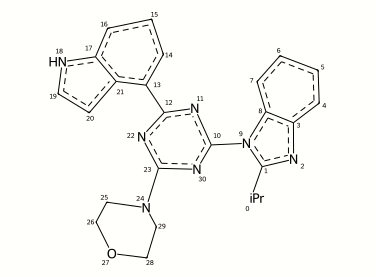 CC(C)c1nc2ccccc2n1-c1nc(-c2cccc3[nH]ccc23)nc(N2CCOCC2)n1